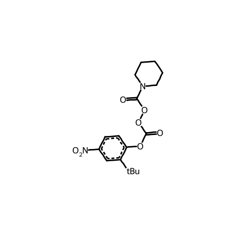 CC(C)(C)c1cc([N+](=O)[O-])ccc1OC(=O)OOC(=O)N1CCCCC1